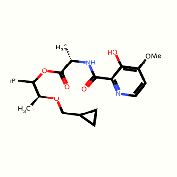 COc1ccnc(C(=O)N[C@@H](C)C(=O)OC(C(C)C)[C@H](C)OCC2CC2)c1O